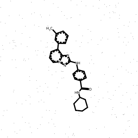 Cc1cccc(-c2cccn3nc(Nc4ccc(C(=O)NC5CCCCC5)cc4)nc23)c1